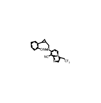 COc1ccccc1C1CC1CNc1ccn2c(CC(F)(F)F)cnc2c1C#N